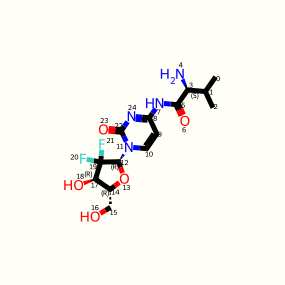 CC(C)[C@H](N)C(=O)Nc1ccn([C@@H]2O[C@H](CO)[C@@H](O)C2(F)F)c(=O)n1